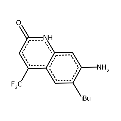 CCC(C)c1cc2c(C(F)(F)F)cc(=O)[nH]c2cc1N